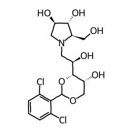 OC[C@@H]1[C@@H](O)[C@H](O)CN1C[C@@H](O)[C@H]1OC(c2c(Cl)cccc2Cl)OC[C@H]1O